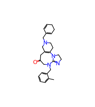 Cc1ccccc1CN1CC(=O)CC2=C(CCN(CC3=CCCC=C3)C2)N2CCN=C12